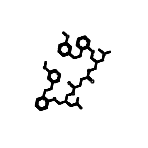 COc1cccc(CCc2ccccc2OCC(COC(=O)CCC(=O)OCC(COc2ccccc2CCc2cccc(OC)c2)CN(C)C)CN(C)C)c1